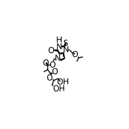 CC(C)OCCn1c(=S)[nH]c(=O)c2c1ccn2COC(=O)C(C)C(=O)OC(CO)CO